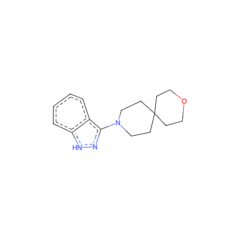 c1ccc2c(N3CCC4(CCOCC4)CC3)n[nH]c2c1